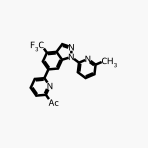 CC(=O)c1cccc(-c2cc(C(F)(F)F)c3cnn(-c4cccc(C)n4)c3c2)n1